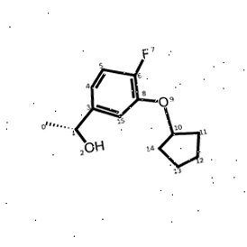 C[C@@H](O)c1ccc(F)c(OC2CCCC2)c1